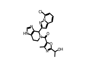 Cc1nc(C(C)O)oc1C(=O)N1CCc2[nH]cnc2C1c1cc2cccc(Cl)n2n1